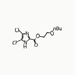 CCCCOCCOC(=O)c1nc(Cl)c(Cl)[nH]1